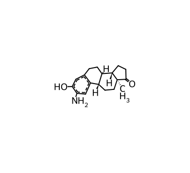 C[C@]12CC[C@@H]3c4cc(N)c(O)cc4CC[C@H]3[C@@H]1CCC2=O